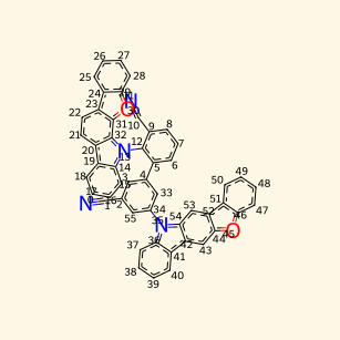 N#Cc1cc(-c2cccc(C#N)c2-n2c3ccccc3c3ccc4c5ccccc5oc4c32)cc(-n2c3ccccc3c3cc4oc5ccccc5c4cc32)c1